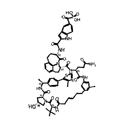 Cc1cc(CCCCCC(=O)N[C@H](C(=O)N2C[C@H](O)C[C@H]2C(=O)N[C@@H](C)c2ccc(-c3scnc3C)cc2)C(C)(C)C)cc(NC(=O)[C@H](CCC(N)=O)NC(=O)[C@@H]2Cc3cccc4c3N2C(=O)[C@@H](NC(=O)c2cc3cc(C(=O)P(=O)(O)O)ccc3[nH]2)CC4)c1